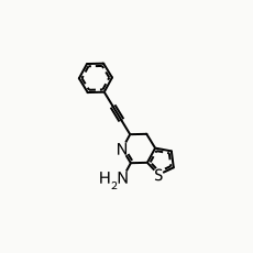 NC1=NC(C#Cc2ccccc2)Cc2ccsc21